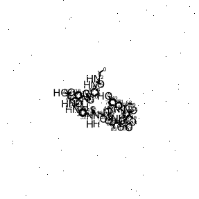 CCCNC(=O)NC1=CC=CC(S(=O)(=O)Nc2cccc(C(CC(=O)O)NC(=O)Nc3ccc(NC(=S)NCC(=O)N4CCC[C@H]4C(=O)N[C@H](C(=O)O[C@]4(CC)C(=O)OCc5c4cc4n(c5=O)C(CC)c5cc6cc(O)ccc6nc5-4)C(C)C)cc3)c2)C1